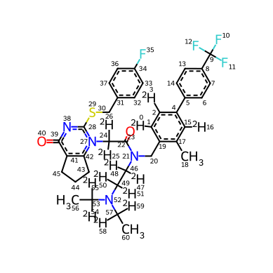 [2H]c1c([2H])c(-c2ccc(C(F)(F)F)cc2)c([2H])c(C)c1CN(C(=O)C([2H])([2H])n1c(SCc2ccc(F)cc2)nc(=O)c2c1CCC2)C([2H])([2H])C([2H])([2H])N(C([2H])([2H])C)C([2H])([2H])C